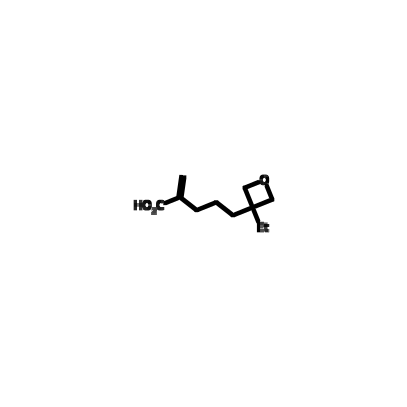 C=C(CCCC1(CC)COC1)C(=O)O